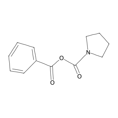 O=C(OC(=O)N1CCCC1)c1ccccc1